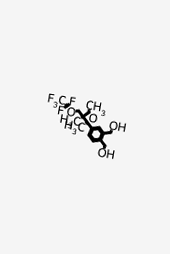 CC1OC(C)(c2ccc(CO)c(CO)c2)C1(C)COC(F)(F)C(F)(F)F